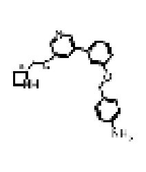 Nc1ccc(COc2cccc(-c3cncc(OC[C@@H]4CCN4)c3)c2)cc1